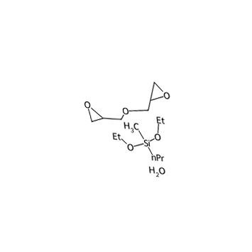 C(OCC1CO1)C1CO1.CCC[Si](C)(OCC)OCC.O